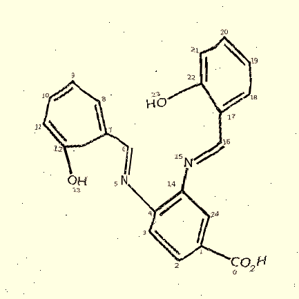 O=C(O)c1ccc(N=Cc2ccccc2O)c(N=Cc2ccccc2O)c1